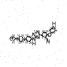 N#Cc1cc(-c2ncnc(Nc3ccc(N4CCN(C5COC5)CC4)cc3)n2)ccc1OC1CCNCC1